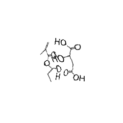 C=C(C)C(=O)OC(O)CC.O=C(O)CC(O)C(=O)O